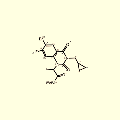 COC(=O)C(C)n1c(=O)n(CC2CC2)c(=O)c2cc(Br)c(F)cc21